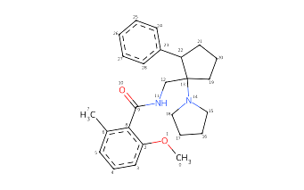 COc1cccc(C)c1C(=O)NCC1(N2CCCC2)CCCC1c1ccccc1